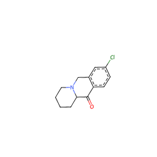 O=C1c2ccc(Cl)cc2CN2CCCCC12